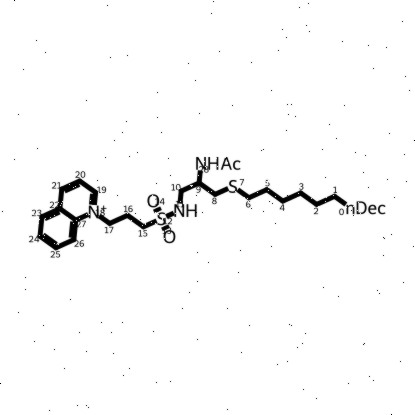 CCCCCCCCCCCCCCCCSCC(CNS(=O)(=O)CCC[n+]1cccc2ccccc21)NC(C)=O